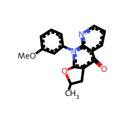 COc1cccc(-n2c3c(c(=O)c4cccnc42)CC(C)O3)c1